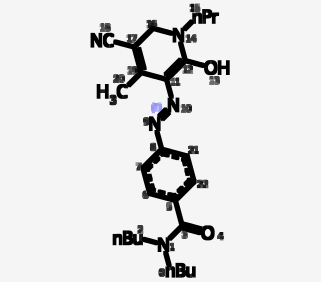 CCCCN(CCCC)C(=O)c1ccc(/N=N/C2=C(O)N(CCC)CC(C#N)=C2C)cc1